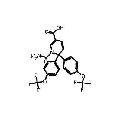 NC(=O)N1C=C(C(=O)O)C=CC1(c1ccc(OC(F)(F)F)cc1)c1ccc(OC(F)(F)F)cc1